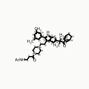 CC(=O)NCCC(=O)N1CCN(CCc2c(-c3cc(C)cc(C)c3)[nH]c3sc(C(C)(C)C(=O)N4C5CCC4CC5)cc23)CC1